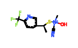 C[C@H](S[N+](C)(O)C#N)c1ccc(C(F)(F)F)nc1